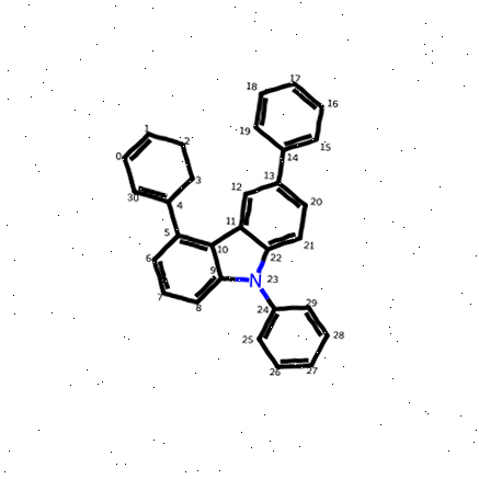 C1=CCCC(c2cccc3c2c2cc(-c4ccccc4)ccc2n3-c2ccccc2)=C1